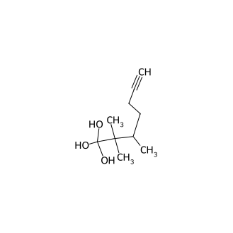 C#CCCC(C)C(C)(C)C(O)(O)O